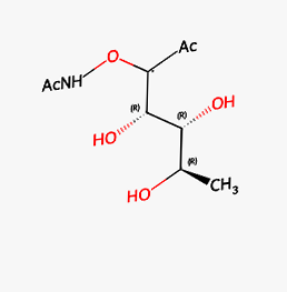 CC(=O)NO[C](C(C)=O)[C@@H](O)[C@H](O)[C@@H](C)O